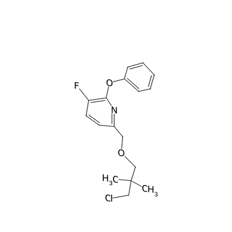 CC(C)(CCl)COCc1ccc(F)c(Oc2ccccc2)n1